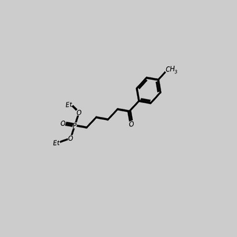 CCOP(=O)(CCCCC(=O)c1ccc(C)cc1)OCC